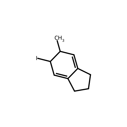 CC1C=C2CCCC2=CC1I